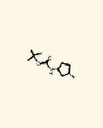 C[C@@H]1CC[C@H](NC(=O)OC(C)(C)C)C1